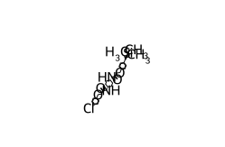 C[Si](C)(C)C#Cc1ccc(OCC(=O)N[C@H]2CC[C@H](NC(=O)COc3ccc(Cl)cc3)CC2)cc1